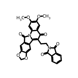 COc1cc2c(=O)c(CCN3C(=O)c4ccccc4C3=O)c3n(c2cc1OC)C(=O)c1cc2c(cc1-3)OCO2